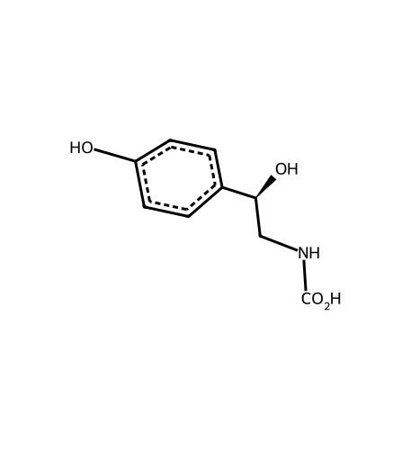 O=C(O)NC[C@H](O)c1ccc(O)cc1